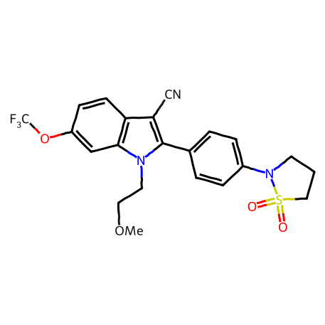 COCCn1c(-c2ccc(N3CCCS3(=O)=O)cc2)c(C#N)c2ccc(OC(F)(F)F)cc21